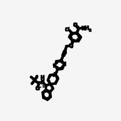 CC(C)(C)[S+]([O-])N[C@@H]1c2ccccc2CC12CCN(c1cnc(C#CCOc3ccc(C(N)=O)c(Cl)c3)cn1)CC2